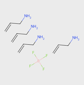 C=CCN.C=CCN.C=CCN.C=CCN.F[B-](F)(F)F